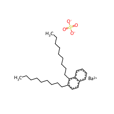 CCCCCCCCCc1ccc2ccccc2c1CCCCCCCCC.O=S(=O)([O-])[O-].[Ba+2]